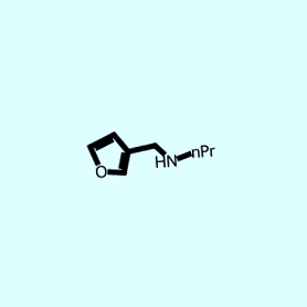 CCCNCc1ccoc1